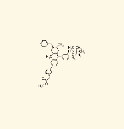 COC(=O)Cn1cc(-c2ccc([C@H](c3cccc(O[Si](C)(C)C(C)(C)C)c3)N3C[C@@H](C)N(Cc4ccccc4)C[C@@H]3C)cc2)cn1